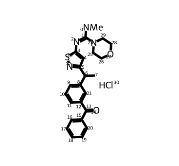 CNC(=Nc1cc(C(C)c2cccc(C(=O)c3ccccc3)c2)ns1)N1CCOCC1.Cl